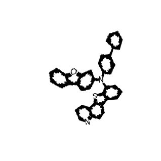 c1ccc(-c2ccc(N(c3ccc4c(c3)oc3ccccc34)c3cccc4c3sc3c5cccnc5ccc43)cc2)cc1